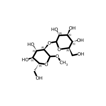 COC1O[C@H](CO)[C@@H](O)[C@H](O)[C@H]1OC1O[C@H](CO)[C@@H](O)[C@H](O)[C@H]1O